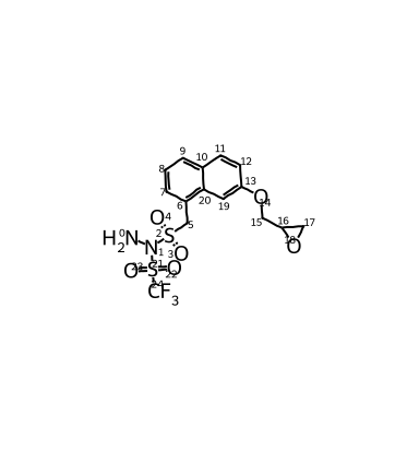 NN(S(=O)(=O)Cc1cccc2ccc(OCC3CO3)cc12)S(=O)(=O)C(F)(F)F